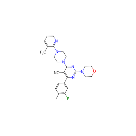 Cc1ccc(-c2nc(N3CCOCC3)nc(N3CCN(c4ncccc4C(F)(F)F)CC3)c2C#N)cc1F